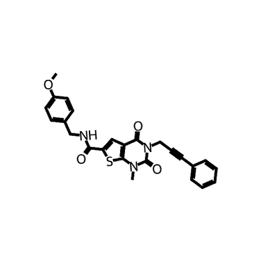 COc1ccc(CNC(=O)c2cc3c(=O)n(CC#Cc4ccccc4)c(=O)n(C)c3s2)cc1